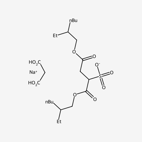 CCCCC(CC)COC(=O)CC(C(=O)OCC(CC)CCCC)S(=O)(=O)[O-].O=C(O)CC(=O)O.[Na+]